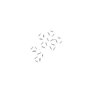 Clc1ccc(-c2c(-c3ccc(-n4c5ccccc5c5c6ccccc6ccc54)cc3)c(-c3ccccc3)c3ccccc3c2-c2ccccc2)cc1